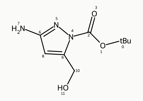 CC(C)(C)OC(=O)n1nc(N)cc1CO